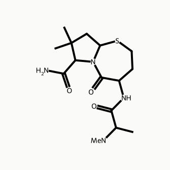 CNC(C)C(=O)NC1CCSC2CC(C)(C)C(C(N)=O)N2C1=O